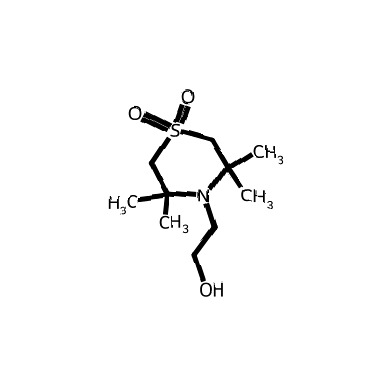 CC1(C)CS(=O)(=O)CC(C)(C)N1CCO